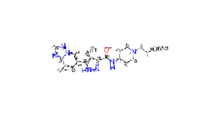 COCCN1CCC(NC(=O)c2n[nH]c(-c3cc(C)c4ncnn4c3)c2C(C)C)CC1